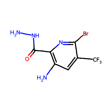 NNC(=O)c1nc(Br)c(C(F)(F)F)cc1N